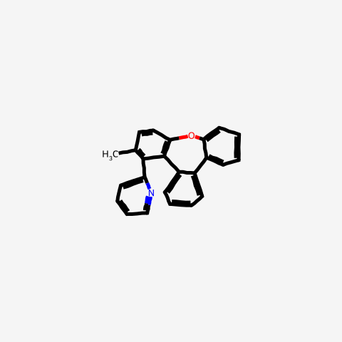 Cc1ccc2c(c1-c1ccccn1)-c1ccccc1-c1ccccc1O2